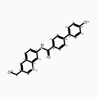 O=C(Nc1ccc2cc(CCl)cnc2c1)c1ccc(-c2ccc(Cl)cc2)cc1